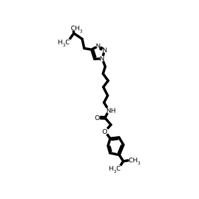 CC(C)CCc1cn(CCCCCCNC(=O)COc2ccc(C(C)C)cc2)nn1